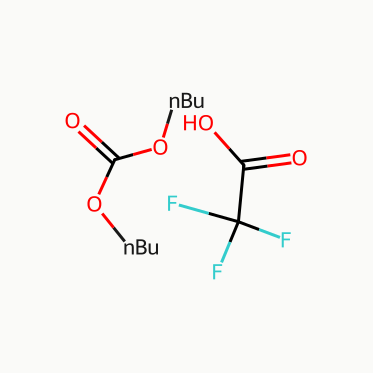 CCCCOC(=O)OCCCC.O=C(O)C(F)(F)F